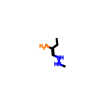 CC/C(P)=C\NNC